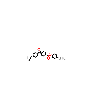 Cc1cc[c]([Co](=[O])[c]2ccc(C(=O)Oc3ccc(C=O)cc3)cc2)cc1